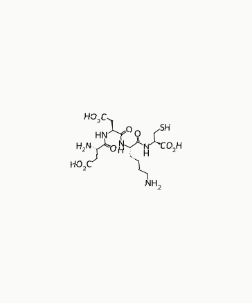 NCCCC[C@H](NC(=O)[C@H](CC(=O)O)NC(=O)[C@@H](N)CC(=O)O)C(=O)N[C@@H](CS)C(=O)O